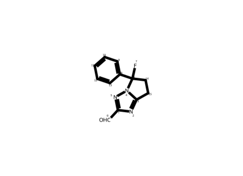 O=Cc1nc2n(n1)C(F)(c1ccccc1)CC2